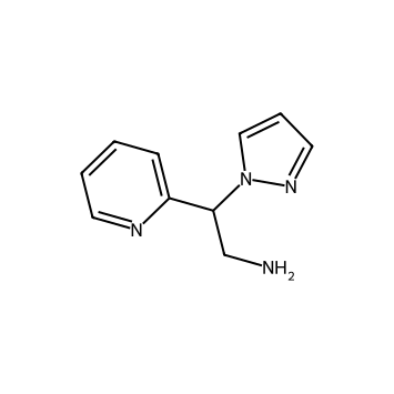 NCC(c1ccccn1)n1cccn1